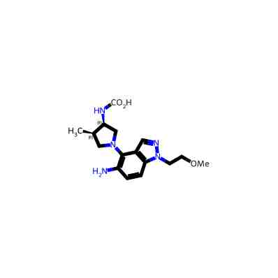 COCCn1ncc2c(N3C[C@@H](C)[C@@H](NC(=O)O)C3)c(N)ccc21